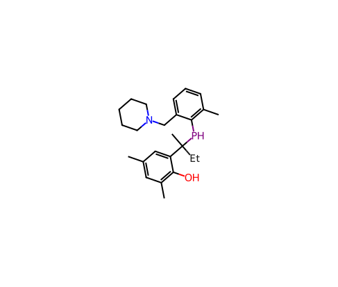 CCC(C)(Pc1c(C)cccc1CN1CCCCC1)c1cc(C)cc(C)c1O